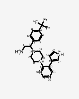 NCC(c1ccc(C(F)(F)F)cc1)N1CCN(c2ncncc2-c2cc[nH]c2)CC1